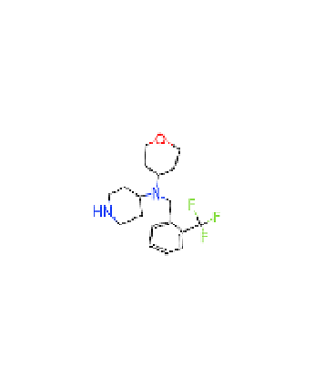 FC(F)(F)c1ccccc1CN(C1CCNCC1)C1CCOCC1